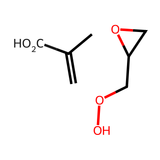 C=C(C)C(=O)O.OOCC1CO1